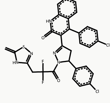 C=C1NC(CC(F)(F)C(=O)N2N=C(c3c(-c4ccc(Cl)cc4)c4ccccc4[nH]c3=O)CC2c2ccc(Cl)cc2)=NS1